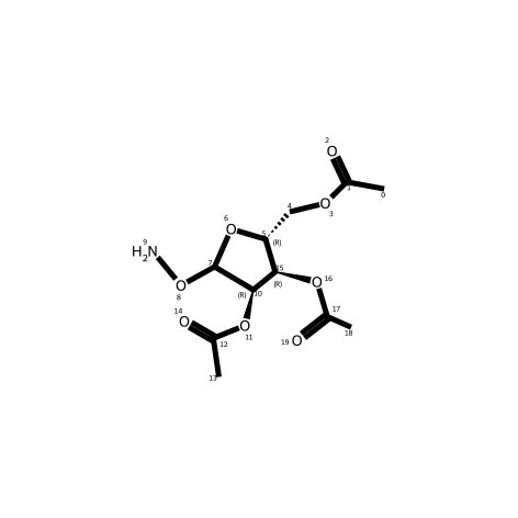 CC(=O)OC[C@H]1OC(ON)[C@H](OC(C)=O)[C@@H]1OC(C)=O